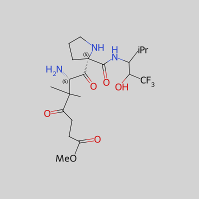 COC(=O)CCC(=O)C(C)(C)[C@H](N)C(=O)[C@]1(C(=O)NC(C(C)C)C(O)C(F)(F)F)CCCN1